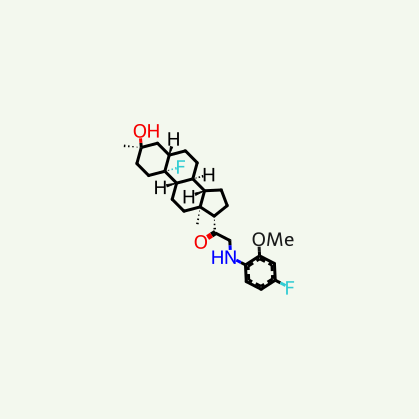 COc1cc(F)ccc1NCC(=O)[C@H]1CC[C@H]2[C@@H]3CC[C@H]4C[C@](C)(O)CC[C@]4(F)[C@H]3CC[C@]12C